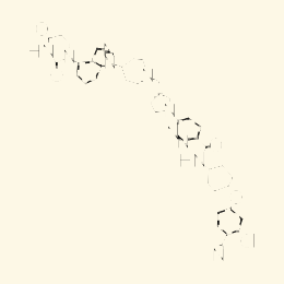 N#Cc1ccc(O[C@H]2CC[C@H](NC(=O)c3ccc(N4CC[C@@H](CN5CCC(n6ncc7c(N8CCC(=O)NC8=O)cccc76)CC5)C4)nn3)CC2)cc1Cl